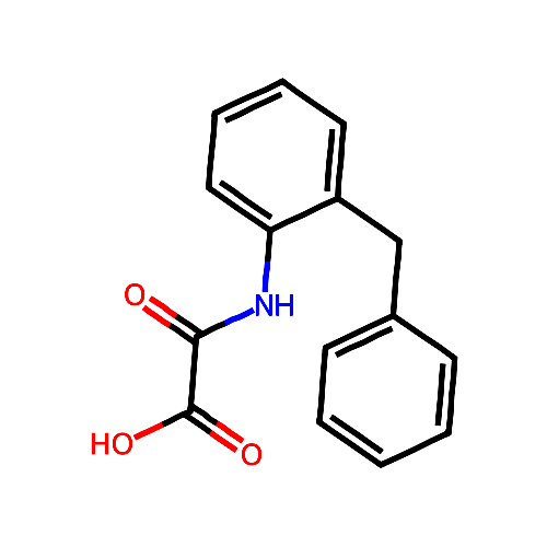 O=C(O)C(=O)Nc1ccccc1Cc1ccccc1